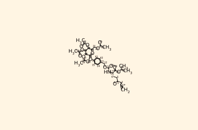 C=[N+]=CC(=O)CC[C@H](NC(=O)OCc1ccc(O[C@@H]2O[C@H](COC(C)=O)[C@@H](OC(C)=O)[C@H](OC(C)=O)[C@H]2OC(C)=O)cc1)C(=O)OC(C)C